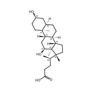 C[C@H](CCC(=O)O)[C@@]1(C)CC[C@H]2[C@@H]3CC[C@@H]4C[C@H](O)CC[C@]4(C)[C@H]3C[C@H](O)[C@@]21C